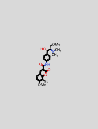 CCc1c(OC)ccc2cc(C(=O)Nc3ccc([C@H](O)[C@H](COC)N(C)C)cc3)c(=O)oc12